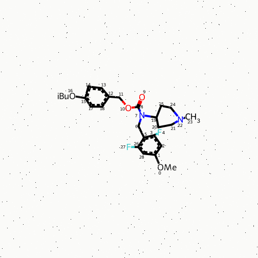 COc1cc(F)c(CN(C(=O)OCc2ccc(OCC(C)C)cc2)C2CCN(C)CC2)c(F)c1